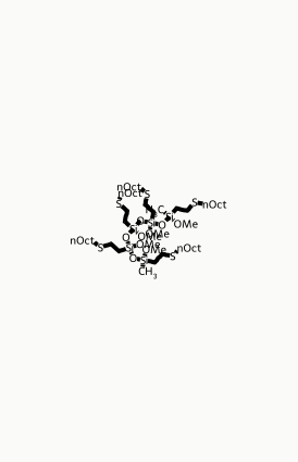 CCCCCCCCSCC[Si](C)(OC)O[Si](CCSCCCCCCCC)(OC)O[Si](CCSCCCCCCCC)(OC)O[Si](CCSCCCCCCCC)(OC)O[Si](C)(CCSCCCCCCCC)OC